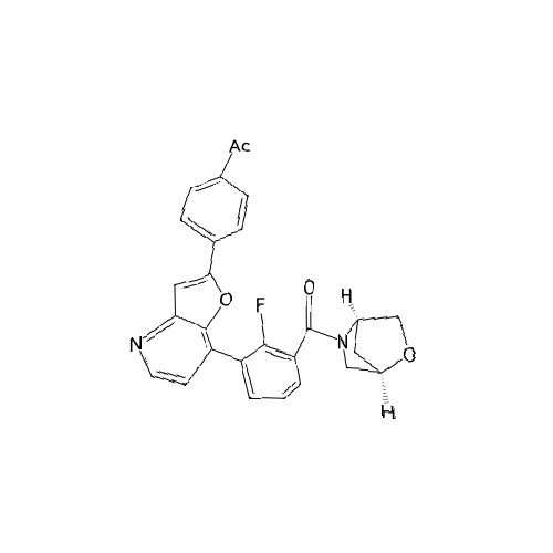 CC(=O)c1ccc(-c2cc3nccc(-c4cccc(C(=O)N5C[C@H]6C[C@@H]5CO6)c4F)c3o2)cc1